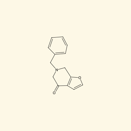 O=C1CN(Cc2ccccc2)Cc2occc21